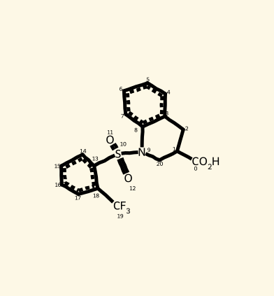 O=C(O)C1Cc2ccccc2N(S(=O)(=O)c2ccccc2C(F)(F)F)C1